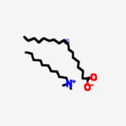 CCCCCCCC/C=C\CCCCCCCC(=O)[O-].CCCCCCCCCC[N+](C)(C)C